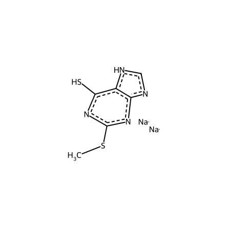 CSc1nc(S)c2[nH]cnc2n1.[Na].[Na]